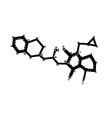 O=c1c2c(F)cccc2n(CC2CC2)c(=O)n1C[C@H](O)CN1CCc2ccccc2C1